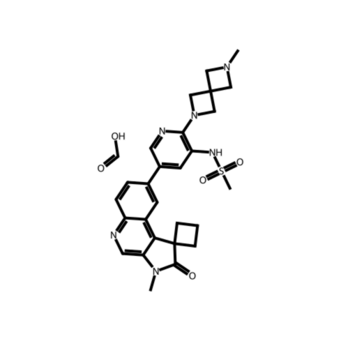 CN1CC2(C1)CN(c1ncc(-c3ccc4ncc5c(c4c3)C3(CCC3)C(=O)N5C)cc1NS(C)(=O)=O)C2.O=CO